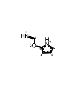 N=COc1ccc[nH]1